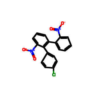 O=[N+]([O-])c1ccccc1-c1cccc([N+](=O)[O-])c1-c1ccc(Cl)cc1